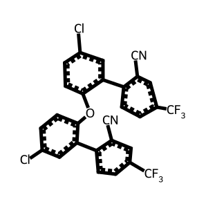 N#Cc1cc(C(F)(F)F)ccc1-c1cc(Cl)ccc1Oc1ccc(Cl)cc1-c1ccc(C(F)(F)F)cc1C#N